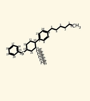 CCCCCCc1ccc(C2CCC(Sc3ccccc3)CC2)cc1.F.F.F.F.F